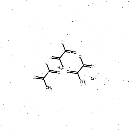 CC(=O)C(=O)[O-].CC(=O)C(=O)[O-].CC(=O)C(=O)[O-].[Cr+3]